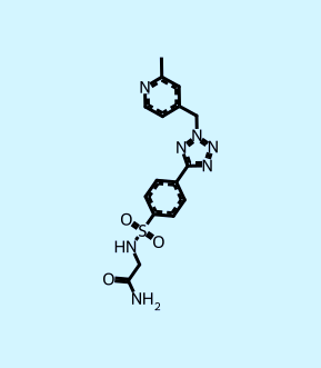 Cc1cc(Cn2nnc(-c3ccc(S(=O)(=O)NCC(N)=O)cc3)n2)ccn1